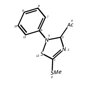 CSC1=NC(C(C)=O)N(c2ccccc2)S1